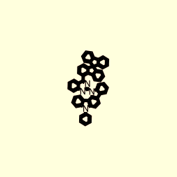 c1ccc(-n2c3ccccc3c3c2ccc2c4ccccc4n(-c4nc(-c5cccc6c5-c5ccccc5C65c6ccccc6-c6ccccc65)c5ccccc5n4)c23)cc1